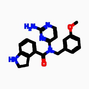 COc1cccc(CN(C(=O)c2cccc3c2CCN3)c2ccnc(N)n2)c1